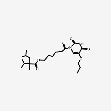 CCCOc1cn(C(=O)CCCCCOC(=O)C(C)(CC(C)C)C(C)C)c(=O)[nH]c1=O